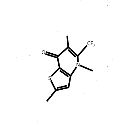 Cc1cc2c(s1)c(=O)c(C)c(C(F)(F)F)n2C